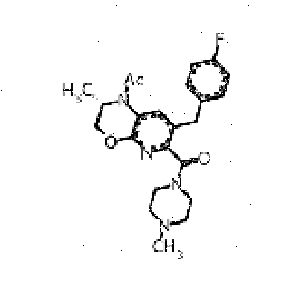 CC(=O)N1c2cc(Cc3ccc(F)cc3)c(C(=O)N3CCN(C)CC3)nc2OC[C@@H]1C